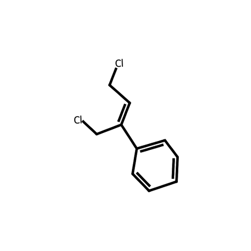 ClCC=C(CCl)c1ccccc1